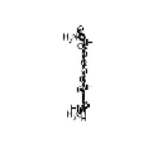 C=C1NC2CSC(CCCCC(=O)NCCOCCOCCOCCOCCC(=O)Nc3ccc(C=O)c(N)c3)C2N1